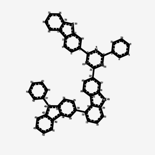 c1ccc(-c2nc(-c3ccc4c(c3)sc3ccccc34)nc(-c3ccc4c(c3)sc3cccc(-c5ccc6c(c5)c5ccccc5n6-c5ccccc5)c34)n2)cc1